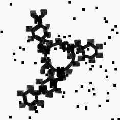 C=C1CN(Sc2ccc(N(C)C)cc2)CCCN(CC2CCCCC2)CCCN(SN2CCN(c3ccccc3)CC2)C1